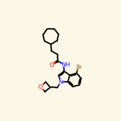 O=C(CCC1CCCCCC1)Nc1cn(CC2COC2)c2cccc(Br)c12